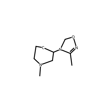 CC1=NOCN1C1CCCN(C)C1